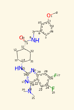 COc1cccc(CNC(=O)[C@H]2CC[C@@H](Nc3nc(N(C)C)c4cc(F)c(F)cc4n3)CC2)c1